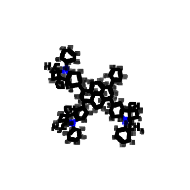 CC12CCC1(C)N(c1ccccc1)c1ccc(-c3cc(-c4ccccc4)c4ccc5c(-c6ccc7c(c6)C6(C)CCC6(C)N7c6ccccc6)cc(-c6ccc7c(c6)C6(C)CCC6(C)N7c6ccccc6)c6ccc3c4c56)cc12